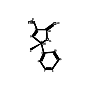 CCCCC1=C[C@@](C)(c2ccccc2)OC1=O